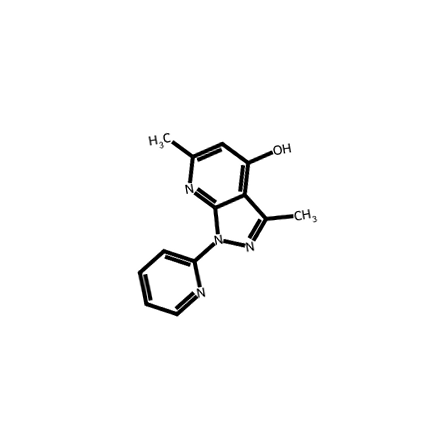 Cc1cc(O)c2c(C)nn(-c3ccccn3)c2n1